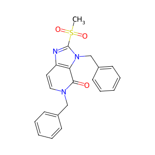 CS(=O)(=O)c1nc2ccn(Cc3ccccc3)c(=O)c2n1Cc1ccccc1